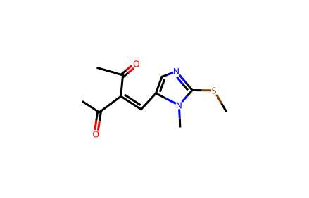 CSc1ncc(C=C(C(C)=O)C(C)=O)n1C